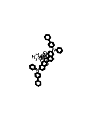 C[Si](C)(C)C1([Si](C)(C)C)c2cc3cc(N(c4ccccc4)c4ccc(C5CCCCC5)cc4)ccc3cc2-c2ccc3cc(N(c4ccccc4)c4ccc(C5CCCCC5)cc4)ccc3c21